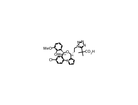 COc1cccc([C@H]2O[C@H](CCn3nnnc3C(C)(C)C(=O)O)c3cccn3-c3ccc(Cl)cc32)c1OC